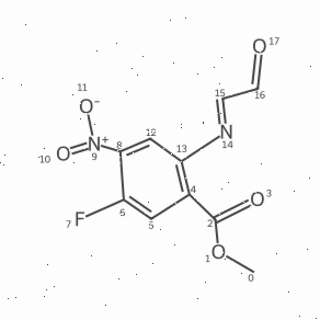 COC(=O)c1cc(F)c([N+](=O)[O-])cc1N=CC=O